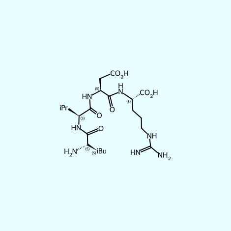 CC[C@H](C)[C@H](N)C(=O)N[C@H](C(=O)N[C@@H](CC(=O)O)C(=O)N[C@@H](CCCNC(=N)N)C(=O)O)C(C)C